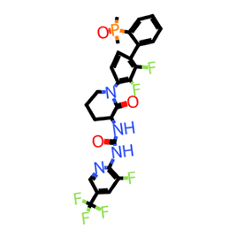 CP(C)(=O)c1ccccc1-c1ccc(N2CCCC(NC(=O)Nc3ncc(C(F)(F)F)cc3F)C2=O)c(F)c1F